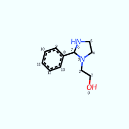 OCCN1CCNC1c1cc[c]cc1